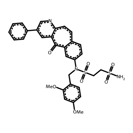 COc1ccc(CN(c2ccc3ccc4ncc(-c5ccccc5)cc4c(=O)c3c2)S(=O)(=O)CCS(N)(=O)=O)c(OC)c1